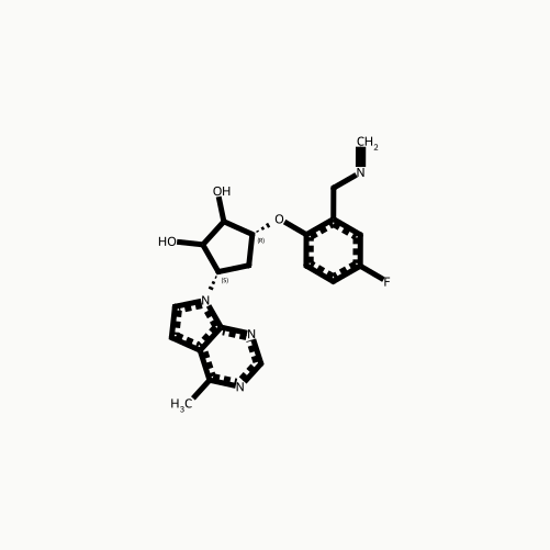 C=NCc1cc(F)ccc1O[C@@H]1C[C@H](n2ccc3c(C)ncnc32)C(O)C1O